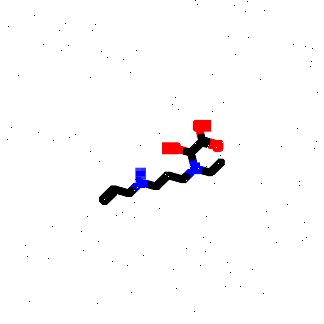 C=CCNCCCN(CC)C(O)C(=O)O